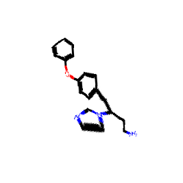 NCCC(Cc1ccc(Oc2ccccc2)cc1)n1ccnc1